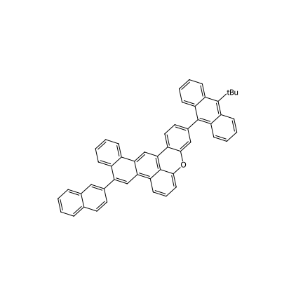 CC(C)(C)c1c2ccccc2c(-c2ccc3c(c2)Oc2cccc4c2c-3cc2c3ccccc3c(-c3ccc5ccccc5c3)cc42)c2ccccc12